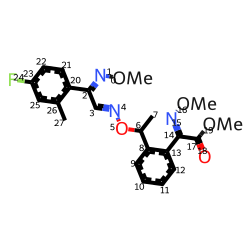 CON=C(C=NOC(C)c1ccccc1C(=NOC)C(=O)OC)c1ccc(F)cc1C